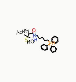 CC(=O)NC(C(=O)NCCCCC[PH](c1ccccc1)(c1ccccc1)c1ccccc1)C(C)(C)SN=O